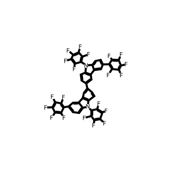 Fc1c(F)c(F)c(-c2ccc3c(c2)c2cc(-c4ccc5c(c4)c4cc(-c6c(F)c(F)c(F)c(F)c6F)ccc4n5-c4c(F)c(F)c(F)c(F)c4F)ccc2n3-c2c(F)c(F)c(F)c(F)c2F)c(F)c1F